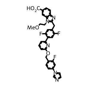 COCCn1c(Cc2cc(F)c(-c3cccc(OCc4ccc(-n5ccnc5)cc4F)n3)cc2F)nc2ccc(C(=O)O)cc21